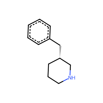 c1ccc(C[C@H]2CCCNC2)cc1